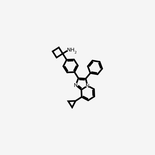 NC1(c2ccc(-c3nc4c(C5CC5)cccn4c3-c3ccccc3)cc2)CCC1